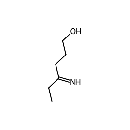 CCC(=N)CCCO